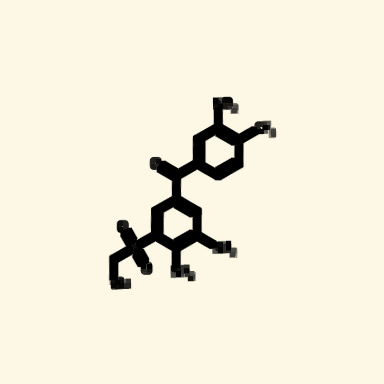 CC(C)(C)CS(=O)(=O)c1cc(C(=O)c2ccc(C(F)(F)F)c([N+](=O)[O-])c2)cc(N)c1N